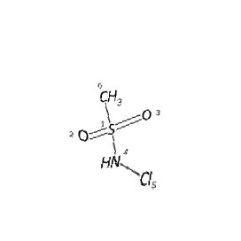 CS(=O)(=O)NCl